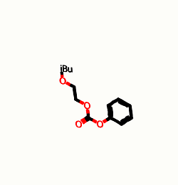 CCC(C)OCCOC(=O)Oc1ccccc1